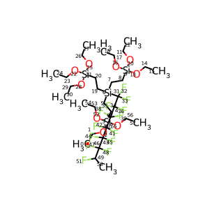 CCO[Si](CC[Si](CC[Si](OCC)(OCC)OCC)(CC[Si](OCC)(OCC)OCC)C(F)(F)C(F)(F)C(F)(F)C(F)(F)C(F)(F)C(F)(F)C(C)F)(OCC)OCC